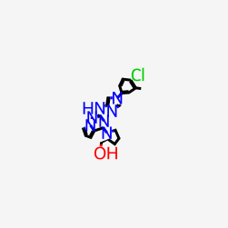 Cc1cc(-n2cnc(Nc3nc(N4CCC[C@H]4CO)c4cccn4n3)c2)ccc1Cl